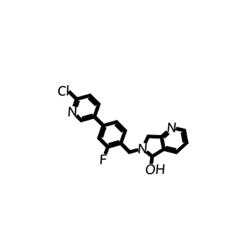 OC1c2cccnc2CN1Cc1ccc(-c2ccc(Cl)nc2)cc1F